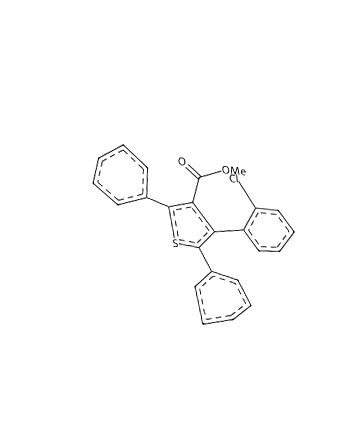 COC(=O)c1c(-c2ccccc2)sc(-c2ccccc2)c1-c1ccccc1Cl